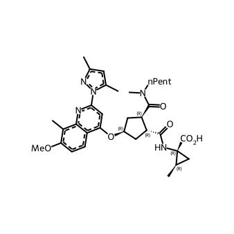 CCCCCN(C)C(=O)[C@@H]1C[C@H](Oc2cc(-n3nc(C)cc3C)nc3c(C)c(OC)ccc23)C[C@H]1C(=O)N[C@]1(C(=O)O)C[C@H]1C